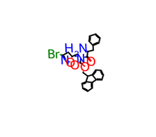 N[C@@H](Cc1ccccc1)C(=O)N(CC1CC(Br)=NO1)C(=O)OCC1c2ccccc2-c2ccccc21